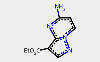 CCOC(=O)c1cnn2ccc(N)nc12